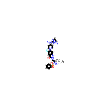 O=C(NC[C@H](NS(=O)(=O)c1ccccc1)C(=O)O)c1ccc(N2CCC(NC3=NCCN3)CC2)c(F)c1